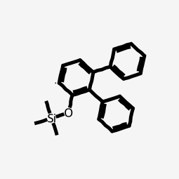 C[Si](C)(C)Oc1[c]ccc(-c2ccccc2)c1-c1ccccc1